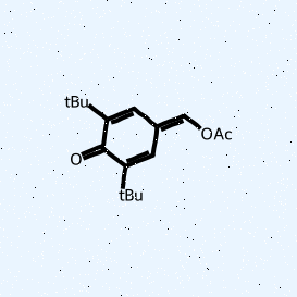 CC(=O)OC=C1C=C(C(C)(C)C)C(=O)C(C(C)(C)C)=C1